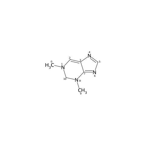 CN1C=C2N=CN=C2N(C)C1